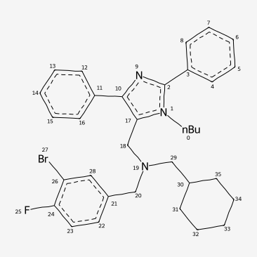 CCCCn1c(-c2ccccc2)nc(-c2ccccc2)c1CN(Cc1ccc(F)c(Br)c1)CC1CCCCC1